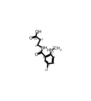 CNc1ccc(I)cc1C(=O)NCCC(=O)O